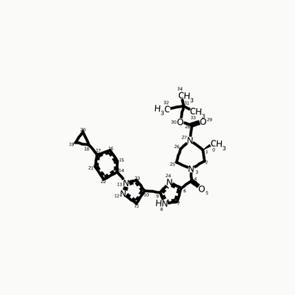 C[C@H]1CN(C(=O)c2c[nH]c(-c3cnn(-c4ccc(C5CC5)cc4)c3)n2)CCN1C(=O)OC(C)(C)C